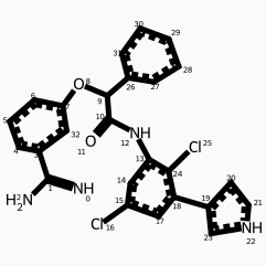 N=C(N)c1cccc(OC(C(=O)Nc2cc(Cl)cc(-c3cc[nH]c3)c2Cl)c2ccccc2)c1